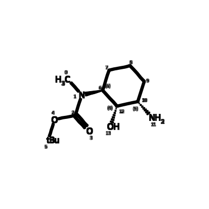 CN(C(=O)OC(C)(C)C)[C@H]1CCC[C@H](N)[C@@H]1O